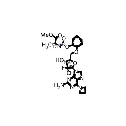 COC(=O)[C@H](C)/N=[P+](\[O-])Oc1ccccc1OC[C@H]1O[C@@H](n2cnc3c(N4CCC4)nc(N)nc32)[C@](C)(F)[C@@H]1O